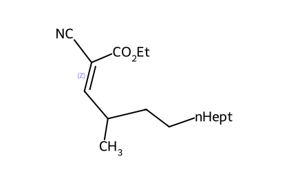 CCCCCCCCCC(C)/C=C(/C#N)C(=O)OCC